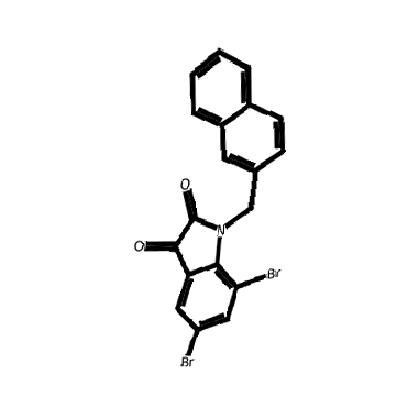 O=C1C(=O)N(Cc2ccc3ccccc3c2)c2c(Br)cc(Br)cc21